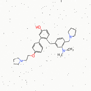 CN(C)c1cc(Cc2ccc(O)cc2-c2ccc(OCCN3CCCC3)cc2)ccc1CN1CCCC1